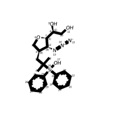 CC(C)(C[C@H]1CO[C@H]([C@@H](O)CO)[C@@H]1N=[N+]=[N-])[Si](O)(c1ccccc1)c1ccccc1